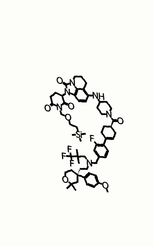 COc1ccc([C@]2(CCN(Cc3ccc(C4=CC[C@H](C(=O)N5CCC(Nc6ccc7c8c6CCCn8c(=O)n7C6CCC(=O)N(COCC[Si](C)(C)C)C6=O)CC5)CC4)c(F)c3)CC(C)(C)C(F)(F)F)CCOC(C)(C)C2)cc1